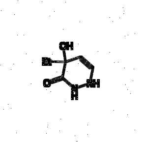 CCC1(O)C=CNNC1=O